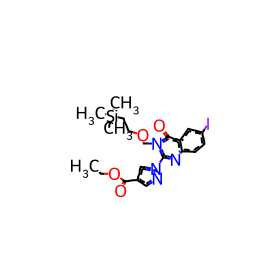 CCOC(=O)c1cnn(-c2nc3ccc(I)cc3c(=O)n2COCC[Si](C)(C)C)c1